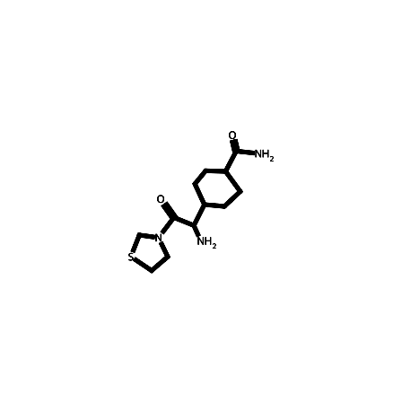 NC(=O)C1CCC(C(N)C(=O)N2CCSC2)CC1